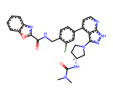 CN(C)C(=O)N[C@@H]1CCN(c2n[nH]c3nccc(-c4ccc(CNC(=O)c5nc6ccccc6o5)c(F)c4)c23)C1